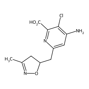 CC1=NOC(Cc2cc(N)c(Cl)c(C(=O)O)n2)C1